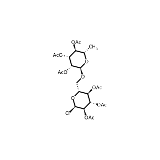 CC(=O)O[C@@H]1[C@@H](OC(C)=O)[C@H](C)O[C@@H](OC[C@H]2O[C@H](Cl)[C@H](OC(C)=O)[C@@H](OC(C)=O)[C@@H]2OC(C)=O)[C@@H]1OC(C)=O